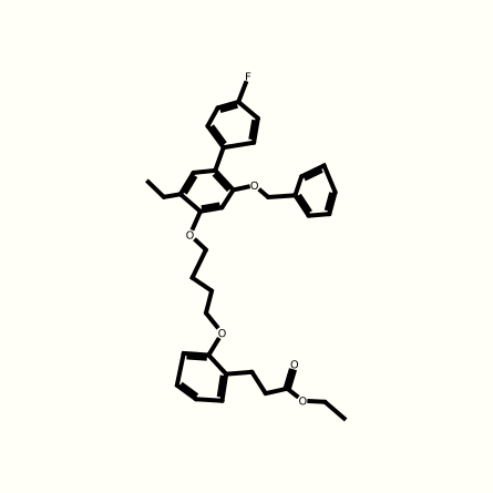 CCOC(=O)CCc1ccccc1OCCCCOc1cc(OCc2ccccc2)c(-c2ccc(F)cc2)cc1CC